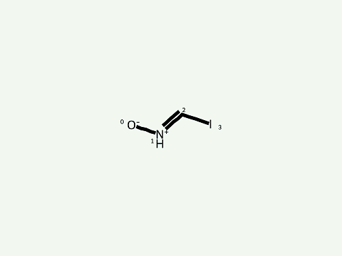 [O-][NH+]=CI